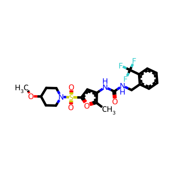 COC1CCN(S(=O)(=O)c2cc(NC(=O)NCc3ccccc3C(F)(F)F)c(C)o2)CC1